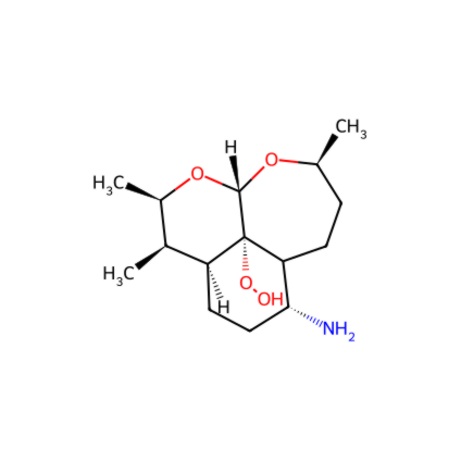 C[C@H]1[C@@H](C)O[C@@H]2O[C@@H](C)CCC3[C@H](N)CC[C@@H]1[C@]32OO